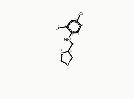 CCc1cc(Cl)ccc1NCC1COCO1